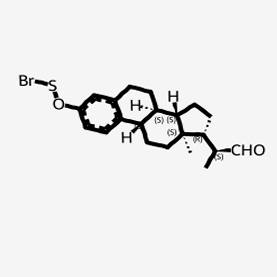 C[C@H](C=O)[C@H]1CC[C@H]2[C@@H]3CCc4cc(OSBr)ccc4[C@H]3CC[C@]12C